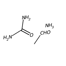 CC=O.N.NC(N)=O